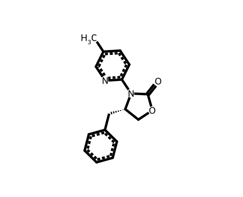 Cc1ccc(N2C(=O)OC[C@@H]2Cc2ccccc2)nc1